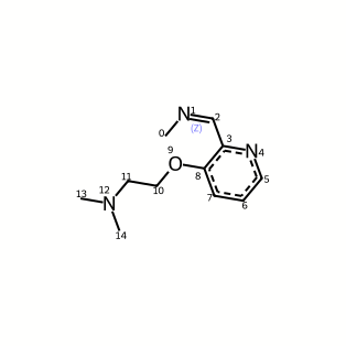 C/N=C\c1ncccc1OCCN(C)C